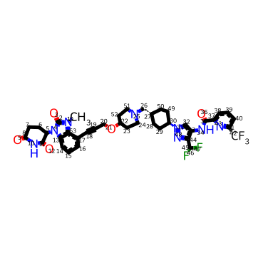 Cn1c(=O)n(C2CCC(=O)NC2=O)c2cccc(C#CCOC3CCN(C[C@H]4CC[C@H](n5cc(NC(=O)c6cccc(C(F)(F)F)n6)c(C(F)F)n5)CC4)CC3)c21